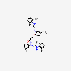 Cc1ccc(OCCCOc2ccc(C)cc2NCCNc2c(C(C)C)cccc2C(C)C)c(NCCNc2c(C(C)C)cccc2C(C)C)c1